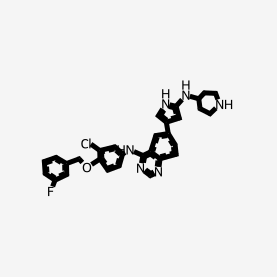 Fc1cccc(COc2ccc(Nc3ncnc4ccc(-c5c[nH]c(NC6CCNCC6)c5)cc34)cc2Cl)c1